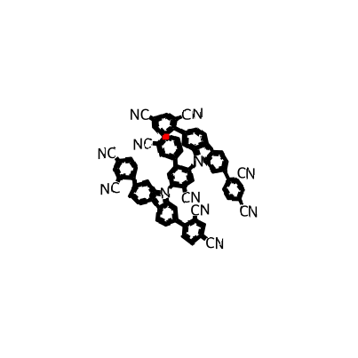 N#Cc1cccc(-c2cc(-n3c4cc(-c5ccc(C#N)cc5C#N)ccc4c4ccc(-c5ccc(C#N)cc5C#N)cc43)c(C#N)cc2-n2c3cc(-c4ccc(C#N)cc4C#N)ccc3c3ccc(-c4ccc(C#N)cc4C#N)cc32)c1